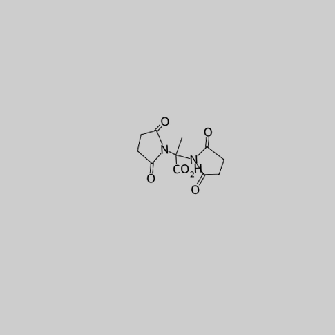 CC(C(=O)O)(N1C(=O)CCC1=O)N1C(=O)CCC1=O